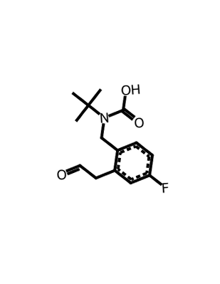 CC(C)(C)N(Cc1ccc(F)cc1CC=O)C(=O)O